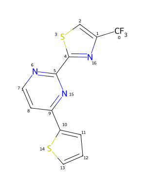 FC(F)(F)c1csc(-c2n[c]cc(-c3cccs3)n2)n1